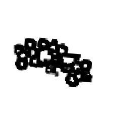 CC(C)c1cc2c3c(c1)C(C)c1ccc4c(c1)N(c1ccccc1[Si]41c4ccccc4-c4ccccc41)c1cccc4c1B3C1=C(C=C/C(=C\N3c5ccccc5[Si]5(c6ccccc6-c6ccccc65)c5ccc(cc53)C2C)C1)O4